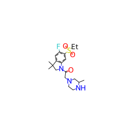 CCS(=O)(=O)c1cc2c(cc1F)C(C)(C)CN2C(=O)CN1CCNC(C)C1